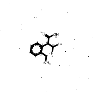 CCc1ccccc1C(C(=O)O)C(F)F